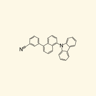 N#Cc1cccc(-c2cccc3c(-n4c5ccccc5c5ccccc54)cccc23)c1